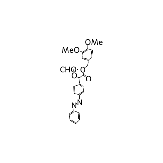 COc1ccc(COC(=O)C(O[C]=O)c2ccc(N=Nc3ccccc3)cc2)cc1OC